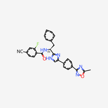 Cc1nc(-c2ccc(-c3c[nH]c([C@H](Cc4ccccc4)NC(=O)c4ccc(C#N)cc4F)n3)cc2)no1